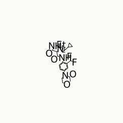 CCN(CC1CC1)[C@H](C(N)=O)C(=O)Nc1ccc(N2CCOCC2=O)cc1C(F)F